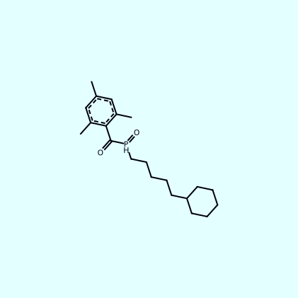 Cc1cc(C)c(C(=O)[PH](=O)CCCCCC2CCCCC2)c(C)c1